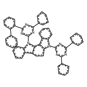 c1ccc(-c2nc(-c3ccccc3)nc(-n3c4ccccc4c4c3ccc3c5ccccc5n(-c5nc(-c6ccccc6)nc(-c6ccccc6-c6ccccc6)n5)c34)n2)cc1